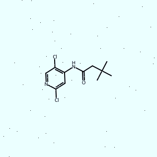 CC(C)(C)CC(=O)Nc1cc(Cl)ncc1Cl